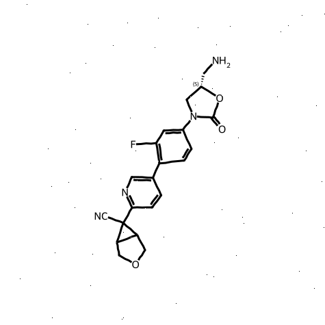 N#CC1(c2ccc(-c3ccc(N4C[C@H](CN)OC4=O)cc3F)cn2)C2COCC21